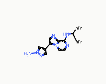 CCCC(CCC)Nc1nccn2c(-c3cnn(N)c3)cnc12